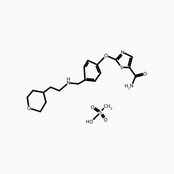 CS(=O)(=O)O.NC(=O)c1cnc(Oc2ccc(CNCCC3CCOCC3)cc2)s1